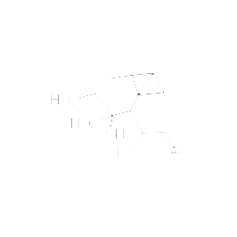 CC(=O)CC(C)C1C(C)(C)C(C)CC2C3CC231